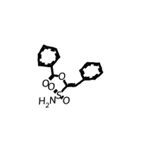 NS(=O)(=O)/C(=C/c1ccccc1)OC(=O)c1ccccc1